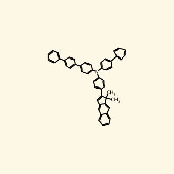 CC1(C)C(c2ccc(N(c3ccc(-c4ccccc4)cc3)c3ccc(-c4ccc(-c5ccccc5)cc4)cc3)cc2)=Cc2cc3ccccc3cc21